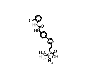 CC(C)(C)N(CCc1ncc(-c2ccc(NC(=O)Nc3ccccc3Cl)cc2)s1)C(=O)O